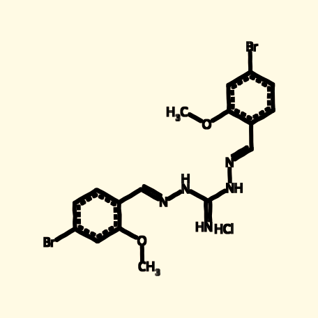 COc1cc(Br)ccc1/C=N/NC(=N)N/N=C/c1ccc(Br)cc1OC.Cl